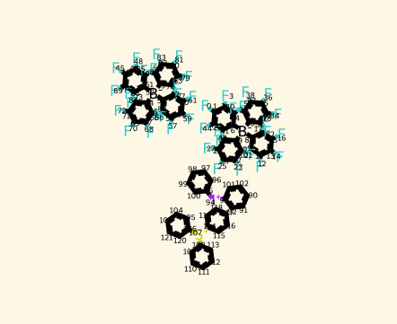 Fc1c(F)c(F)c([B-](c2c(F)c(F)c(F)c(F)c2F)(c2c(F)c(F)c(F)c(F)c2F)c2c(F)c(F)c(F)c(F)c2F)c(F)c1F.Fc1c(F)c(F)c([B-](c2c(F)c(F)c(F)c(F)c2F)(c2c(F)c(F)c(F)c(F)c2F)c2c(F)c(F)c(F)c(F)c2F)c(F)c1F.c1ccc([I+]c2ccccc2)cc1.c1ccc([S+](c2ccccc2)c2ccccc2)cc1